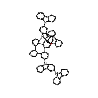 c1ccc2c(c1)-c1cc(-n3c4ccccc4c4cc(-n5c6ccccc6c6ccccc65)ccc43)ccc1-c1cc3c4ccccc4c4ccccc4c3cc1-c1c-2cccc1-n1c2ccccc2c2cc(-n3c4ccccc4c4ccccc43)ccc21